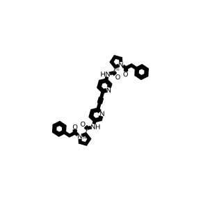 O=C(Nc1ccc(C#Cc2ccc(NC(=O)[C@@H]3CCCN3C(=O)Cc3ccccc3)cn2)nc1)[C@@H]1CCCN1C(=O)Cc1ccccc1